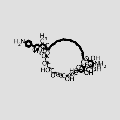 CC1/C=C/C=C/C=C/C=C/C=C/C=C/C=C/C(O[C@@H]2O[C@H](C)[C@@H](O)[C@H](N)[C@@H]2O)CC2OC(O)(CCCC(O)CCCC(=O)CC(O)CC(=O)CC(=O)OC1C(C)CC(C)C(O)CC(=O)c1ccc(N)cc1)CC(O)C2C(=O)O